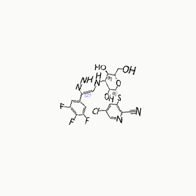 N#Cc1ncc(Cl)cc1S[C@H]1OC(CO)[C@H](O)C(N/C=C(\N=N)c2cc(F)c(F)c(F)c2)C1O